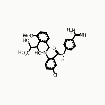 COc1cccc(CNc2ccc(Cl)cc2C(=O)Nc2ccc(C(=N)N)cc2)c1C(O)C(O)C(=O)O